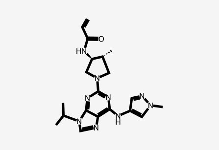 C=CC(=O)N[C@@H]1CN(c2nc(Nc3cnn(C)c3)c3ncn(C(C)C)c3n2)C[C@H]1C